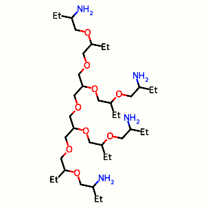 CCC(N)COC(CC)COCC(COCC(COCC(CC)OCC(N)CC)OCC(CC)OCC(N)CC)OCC(CC)OCC(N)CC